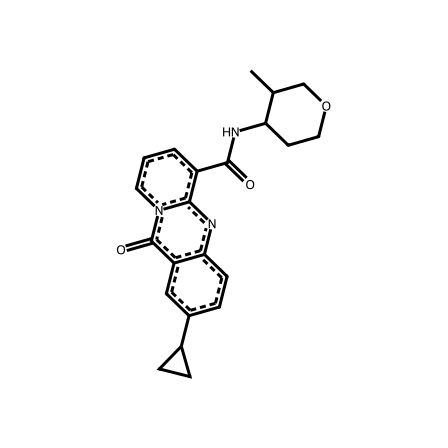 CC1COCCC1NC(=O)c1cccn2c(=O)c3cc(C4CC4)ccc3nc12